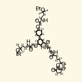 CCOC(C)(C)CCNC(=O)COc1ccc(-c2cc(OCC(=O)NCCC(C)(C)OCC)cc(C(=O)NCCNC(=O)CCCC(=O)ON3C(=O)CCC3=O)c2)cc1